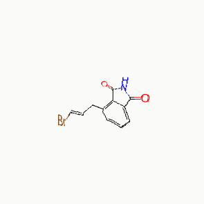 O=C1NC(=O)c2c(CC=CBr)cccc21